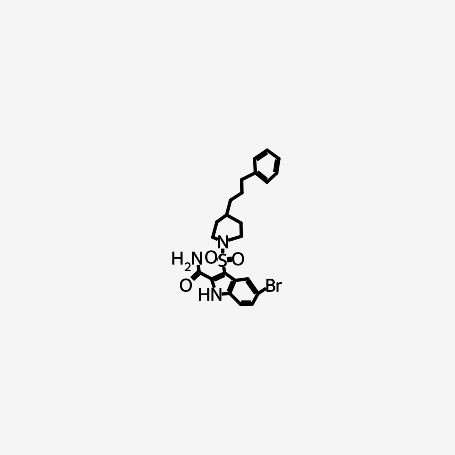 NC(=O)c1[nH]c2ccc(Br)cc2c1S(=O)(=O)N1CCC(CCCc2ccccc2)CC1